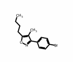 CCCCc1onc(-c2ccc(Br)cc2)c1C